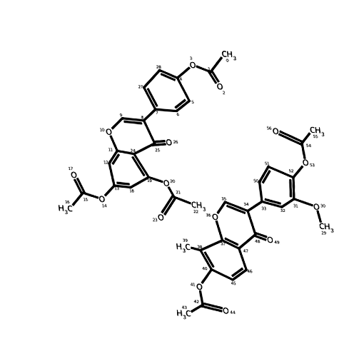 CC(=O)Oc1ccc(-c2coc3cc(OC(C)=O)cc(OC(C)=O)c3c2=O)cc1.COc1cc(-c2coc3c(C)c(OC(C)=O)ccc3c2=O)ccc1OC(C)=O